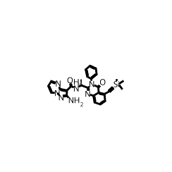 C[C@H](NC(=O)c1c(N)nn2cccnc12)c1nc2cccc(C#C[Si](C)(C)C)c2c(=O)n1-c1ccccc1